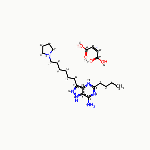 CCCCc1nc(N)c2[nH]nc(CCCCCCN3CCCC3)c2n1.O=C(O)/C=C\C(=O)O